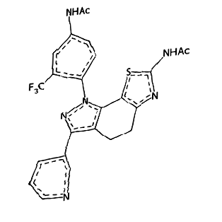 CC(=O)Nc1ccc(-n2nc(-c3cccnc3)c3c2-c2sc(NC(C)=O)nc2CC3)c(C(F)(F)F)c1